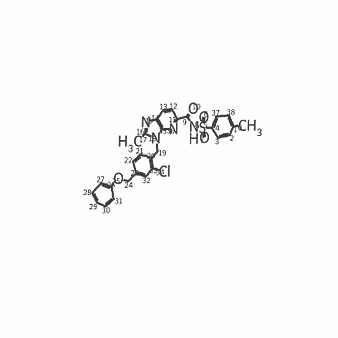 Cc1ccc(S(=O)(=O)NC(=O)c2ccc3nc(C)n(Cc4ccc(COc5ccccc5)cc4Cl)c3n2)cc1